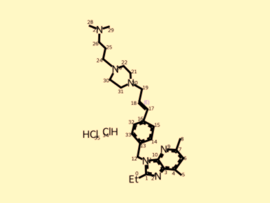 CCc1nc2c(C)cc(C)nc2n1Cc1ccc(/C=C/CN2CCN(CCCN(C)C)CC2)cc1.Cl.Cl